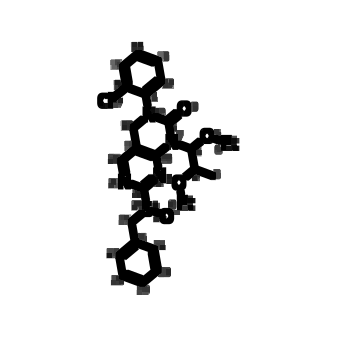 CCOC(C)C(OCC)N1C(=O)N(c2ccccc2Cl)Cc2cnc([S+]([O-])Cc3ccccc3)nc21